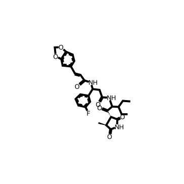 CCC(CC)C(NC(=O)CC(NC(=O)/C=C/c1ccc2c(c1)OCO2)c1cccc(F)c1)C(=O)[C@@H]1C(=O)NC(=O)[C@H]1C